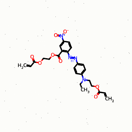 C=CC(=O)OCCOC(=O)c1cc([N+](=O)[O-])ccc1/N=N/c1ccc(N(CC)CCOC(=O)C=C)cc1